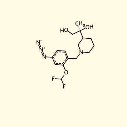 C[C@@](O)(CO)[C@H]1CCCN(Cc2ccc(N=[N+]=[N-])cc2OC(F)F)C1